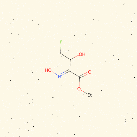 CCOC(=O)C(=NO)C(O)CF